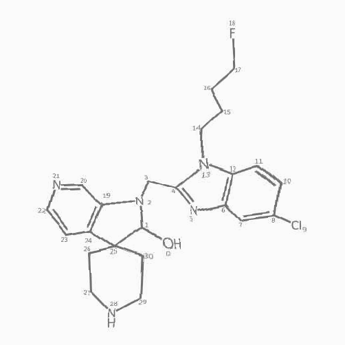 OC1N(Cc2nc3cc(Cl)ccc3n2CCCCF)c2cnccc2C12CCNCC2